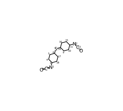 O=C=NC1CCC(SC2CCC(N=C=O)CC2)CC1